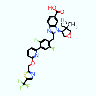 CC1(C)COCC1n1c(Cc2cc(F)c(-c3cccc(OCc4ncc(C(F)(F)F)s4)n3)cc2F)nc2ccc(C(=O)O)cc21